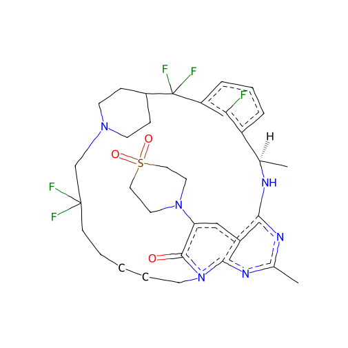 Cc1nc2c3cc(N4CCS(=O)(=O)CC4)c(=O)n(c3n1)CCCCCC(F)(F)CN1CCC(CC1)C(F)(F)c1cccc(c1F)[C@@H](C)N2